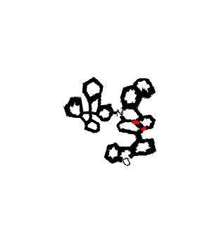 C1=CC2=C(CC1)C1(C3=C(C=CCC3)c3cc(N(c4ccc5ccccc5c4-c4ccccc4)C4C=CC(c5cccc6oc7ccccc7c56)=CC4)ccc31)c1ccccc12